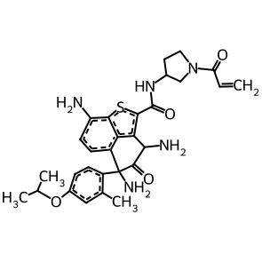 C=CC(=O)N1CCC(NC(=O)c2sc3c(N)ccc4c3c2C(N)C(=O)C4(N)c2ccc(OC(C)C)cc2C)C1